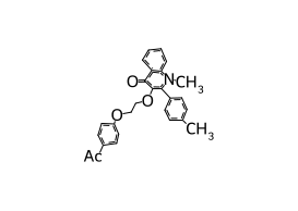 CC(=O)c1ccc(OCCOc2c(-c3ccc(C)cc3)n(C)c3ccccc3c2=O)cc1